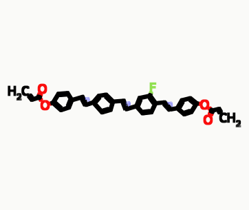 C=CC(=O)Oc1ccc(/C=C/c2ccc(/C=C/c3ccc(/C=C/c4ccc(OC(=O)C=C)cc4)c(F)c3)cc2)cc1